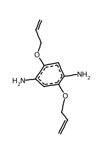 C=CCOc1cc(N)c(OCC=C)cc1N